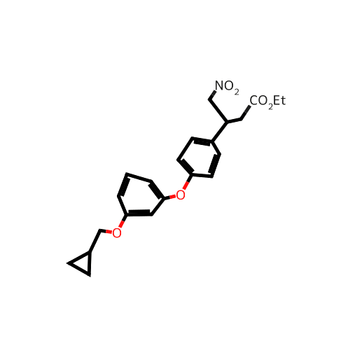 CCOC(=O)CC(C[N+](=O)[O-])c1ccc(Oc2cccc(OCC3CC3)c2)cc1